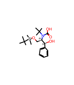 CC(C)(C)N(C(=O)O)[C@H](CO[Si](C)(C)C(C)(C)C)[C@@H](O)c1ccccc1